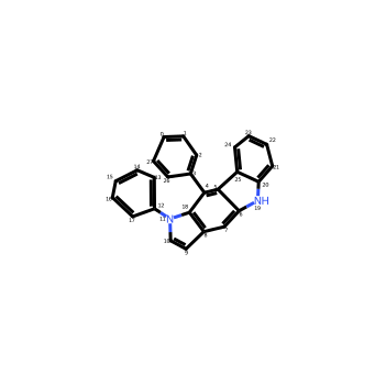 c1ccc(-c2c3c(cc4ccn(-c5ccccc5)c24)[nH]c2ccccc23)cc1